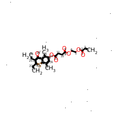 C=CC(=O)OCCOC(=O)CCC(=O)Oc1cc(C)c2sc(C=C)c(C=C)c(=O)c2c1C